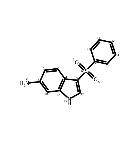 Nc1ccc2c(S(=O)(=O)c3ccccc3)c[nH]c2c1